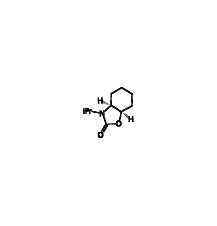 CC(C)N1C(=O)O[C@@H]2CCCC[C@@H]21